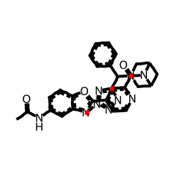 CC(=O)Nc1ccc2oc(-c3ccnc(C(=O)N4C5CC4CN(C(c4ccccc4)c4nnn(C)n4)C5)c3)nc2c1